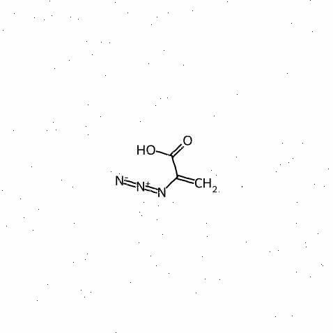 C=C(N=[N+]=[N-])C(=O)O